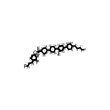 CCCCCC1CCC(c2ccc(C3CCC(C4CCC(C(F)(F)Oc5ccc(CCCF)c(F)c5)CC4)CC3)c(F)c2)CC1